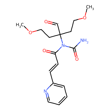 COCCC([C]=O)(CCOC)N(C(N)=O)C(=O)C=Cc1ccccn1